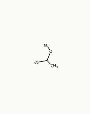 CCO[CH](C)[Al]